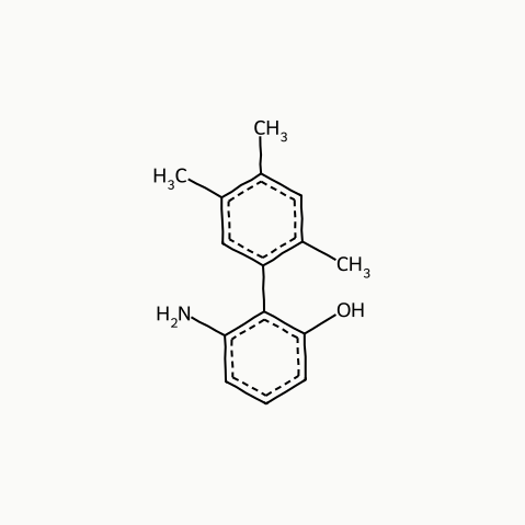 Cc1cc(C)c(-c2c(N)cccc2O)cc1C